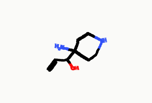 C=CC(O)C1(N)CCNCC1